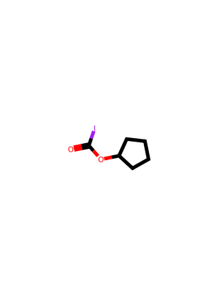 O=C(I)OC1CCCC1